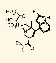 CCN(CC)C(=O)[C@@H]1C=C2c3cccc4[nH]c(Br)c(c34)C[C@H]2N(C)C1.O=C(O)C(O)C(O)C(=O)O